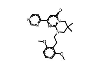 COc1cccc(OC)c1CCN1CC(C)(C)Cn2c1nc(-c1ccncn1)cc2=O